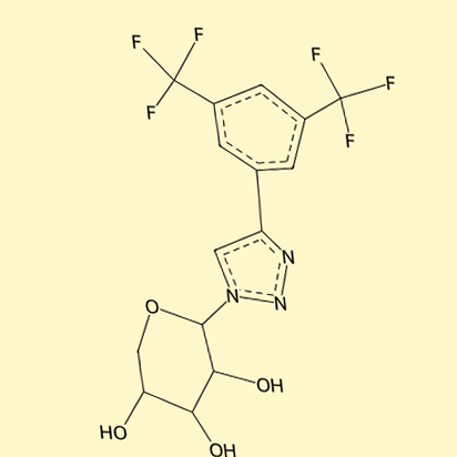 OC1COC(n2cc(-c3cc(C(F)(F)F)cc(C(F)(F)F)c3)nn2)C(O)C1O